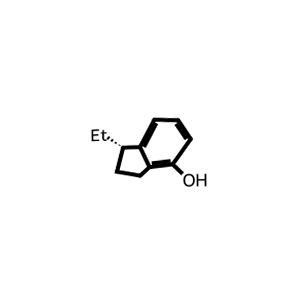 CC[C@H]1CCc2c(O)cccc21